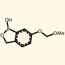 COCOc1ccc2c(c1)B(O)OC2